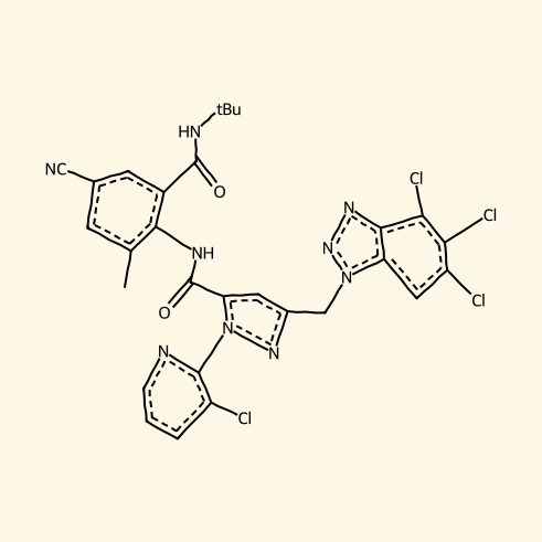 Cc1cc(C#N)cc(C(=O)NC(C)(C)C)c1NC(=O)c1cc(Cn2nnc3c(Cl)c(Cl)c(Cl)cc32)nn1-c1ncccc1Cl